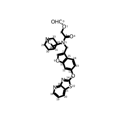 O=COCC(=O)N(Cc1coc2cc(Oc3nc4ncccc4s3)ccc12)C1CN2CCC1CC2